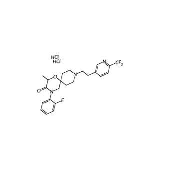 CC1OC2(CCN(CCc3ccc(C(F)(F)F)nc3)CC2)CN(c2ccccc2F)C1=O.Cl.Cl